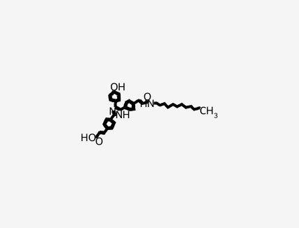 CCCCCCCCCCCCNC(=O)C=Cc1ccc(-c2[nH]c(-c3ccc(C=CC(=O)O)cc3)nc2-c2ccc(O)cc2)cc1